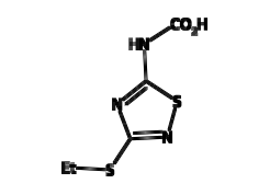 CCSc1nsc(NC(=O)O)n1